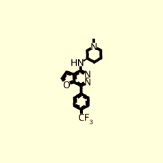 CN1CCC[C@@H](Nc2nnc(-c3ccc(C(F)(F)F)cc3)c3occc23)C1